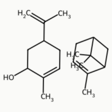 C=C(C)C1CC=C(C)C(O)C1.CC1=CCC2CC1C2(C)C